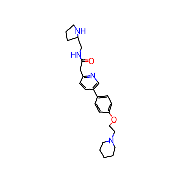 O=C(Cc1ccc(-c2ccc(OCCN3CCCCC3)cc2)cn1)NCC1CCCN1